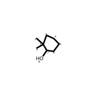 CC1(C)CCCCC1O